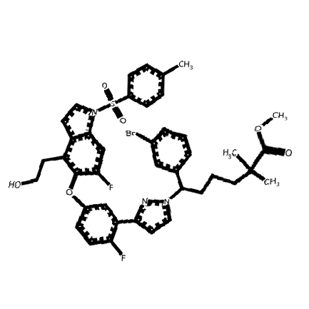 COC(=O)C(C)(C)CCCC(c1cccc(Br)c1)n1ccc(-c2cc(Oc3c(F)cc4c(ccn4S(=O)(=O)c4ccc(C)cc4)c3CCO)ccc2F)n1